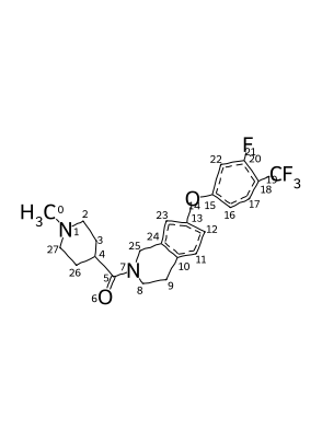 CN1CCC(C(=O)N2CCc3ccc(Oc4ccc(C(F)(F)F)c(F)c4)cc3C2)CC1